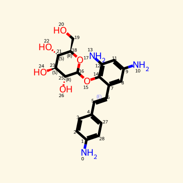 Nc1ccc(/C=C/c2cc(N)cc(N)c2OC2O[C@H](CO)[C@@H](O)[C@H](O)[C@H]2O)cc1